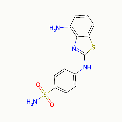 Nc1cccc2sc(Nc3ccc(S(N)(=O)=O)cc3)nc12